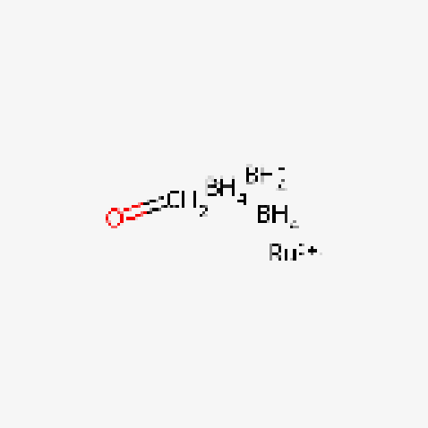 C=O.[BH4-].[BH4-].[BH4-].[Ru+3]